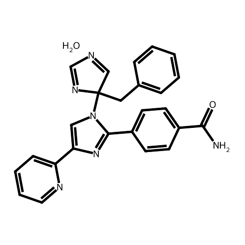 NC(=O)c1ccc(-c2nc(-c3ccccn3)cn2C2(Cc3ccccc3)C=NC=N2)cc1.O